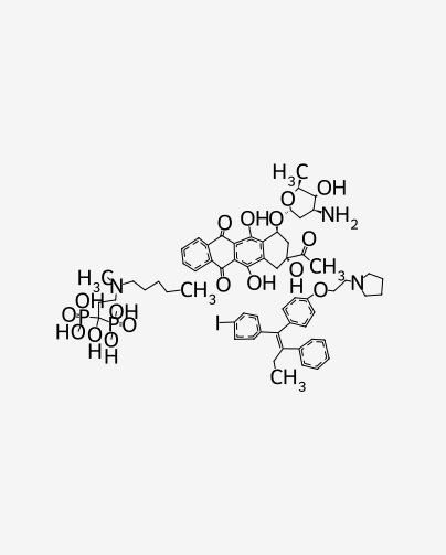 CC(=O)[C@]1(O)Cc2c(O)c3c(c(O)c2[C@@H](O[C@H]2C[C@H](N)[C@H](O)[C@H](C)O2)C1)C(=O)c1ccccc1C3=O.CC/C(=C(\c1ccc(I)cc1)c1ccc(OCCN2CCCC2)cc1)c1ccccc1.CCCCCN(C)CCC(O)(P(=O)(O)O)P(=O)(O)O